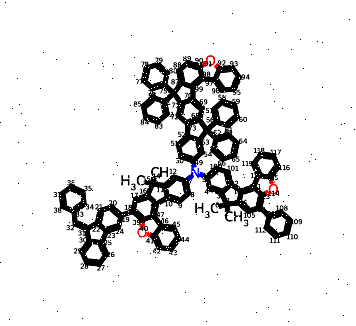 CC1(C)c2cc(N(c3ccc4c(c3)C(C)(C)c3cc(-c5ccc6c(c5)-c5ccccc5/C6=C/c5ccccc5)c5oc6ccccc6c5c3-4)c3ccc4c(c3)C(c3ccccc3)(c3ccccc3)c3cc5c(cc3-4)C(c3ccccc3)(c3ccccc3)c3ccc4oc6ccccc6c4c3-5)ccc2-c2c1cc(-c1ccccc1)c1oc3ccccc3c21